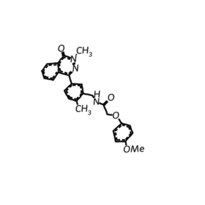 COc1ccc(OCC(=O)NCc2cc(-c3nn(C)c(=O)c4ccccc34)ccc2C)cc1